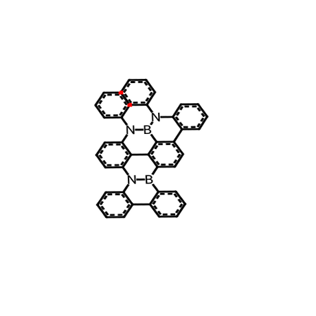 c1ccc(N2B3c4c(ccc5c4-c4c(cccc4N4B5c5ccccc5-c5ccccc54)N3c3ccccc3)-c3ccccc32)cc1